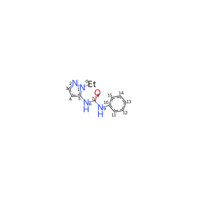 CCn1nccc1NC(=O)Nc1ccccc1